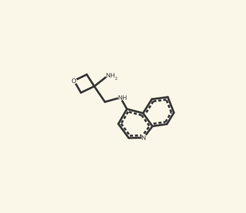 NC1(CNc2ccnc3ccccc23)COC1